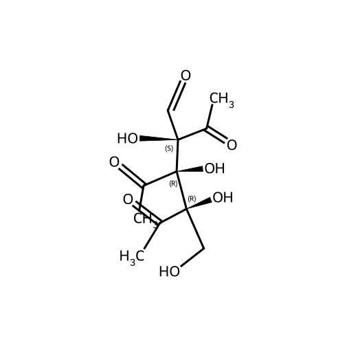 CC(=O)[C@](O)([C@](O)(C=O)C(C)=O)[C@](O)(CO)C(C)=O